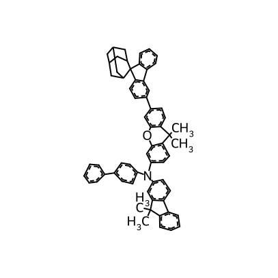 CC1(C)c2ccc(-c3ccc4c(c3)-c3ccccc3C43C4CC5CC(C4)CC3C5)cc2Oc2cc(N(c3ccc(-c4ccccc4)cc3)c3ccc4c(c3)C(C)(C)c3ccccc3-4)ccc21